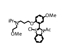 COCCN(CCCOc1ccc(OC)cc1C1=S(Cl)c2ccccc2N1C(C)=O)C(C)C